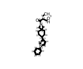 CC[C@H](CO)C(=O)N1CC2(CCC(c3ccn(-c4ccccc4)n3)CC2)C1